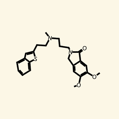 COc1cc2c(cc1OC)C(=O)N(CCCN(C)CCc1cc3ccccc3s1)C2